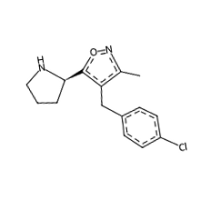 Cc1noc([C@H]2CCCN2)c1Cc1ccc(Cl)cc1